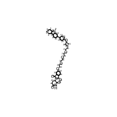 Cn1c2ccncc2c2ccc(-c3ccc(OC4CN(CCOCCOCCOCCOc5ccc6c(c5)C(=O)N(C5CCC(=O)NC5=O)C6=O)C4)nc3)cc21